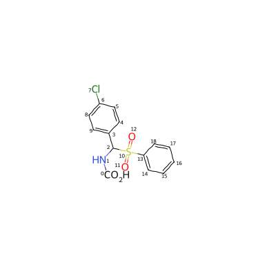 O=C(O)NC(c1ccc(Cl)cc1)S(=O)(=O)c1ccccc1